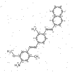 COc1cc(N=Nc2ccc(N=Nc3ccc4ccccc4c3)c(C)c2)c(C)cc1N